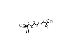 O=C(O)CCCCCCCNO